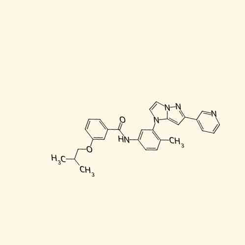 Cc1ccc(NC(=O)c2cccc(OCC(C)C)c2)cc1-n1ccn2nc(-c3cccnc3)cc12